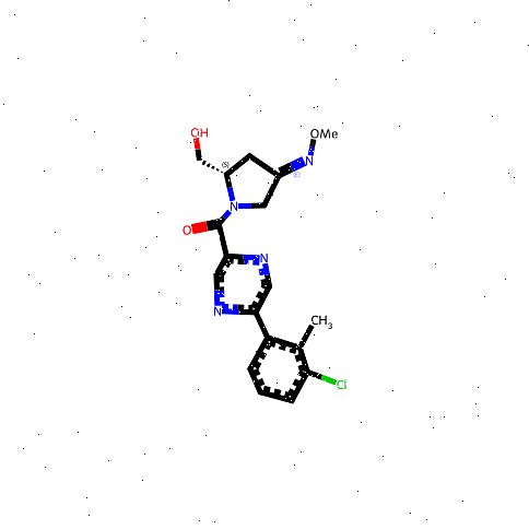 CO/N=C1\C[C@@H](CO)N(C(=O)c2cnc(-c3cccc(Cl)c3C)cn2)C1